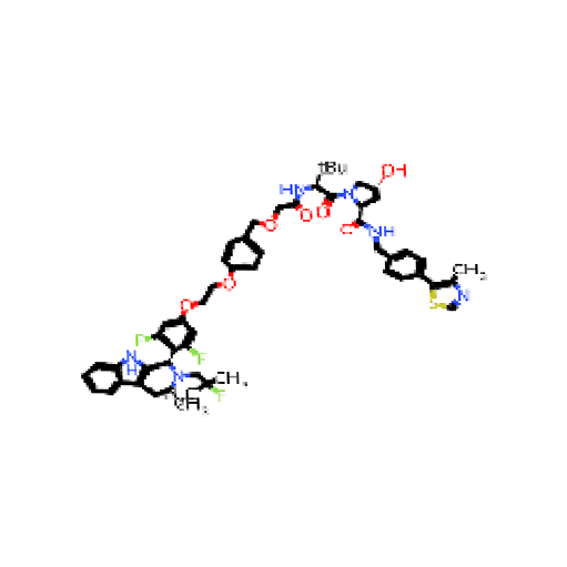 Cc1ncsc1-c1ccc(CNC(=O)[C@@H]2C[C@@H](O)CN2C(=O)[C@@H](NC(=O)COCc2ccc(OCCOc3cc(F)c([C@@H]4c5[nH]c6ccccc6c5C[C@@H](C)N4CC(C)(C)F)c(F)c3)cc2)C(C)(C)C)cc1